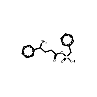 NC(CCC(=O)OP(=O)(O)Cc1ccccc1)c1ccccc1